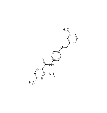 Cc1cccc(COc2ccc(NC(=O)c3ccc(C)nc3N)cc2)c1